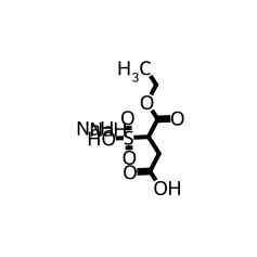 CCOC(=O)C(CC(=O)O)S(=O)(=O)O.[NaH].[NaH]